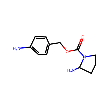 Nc1ccc(COC(=O)N2CCCC2N)cc1